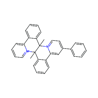 CC12c3ccccc3-c3cc(-c4ccccc4)cc[n+]3C1(C)c1ccccc1-c1cccc[n+]12